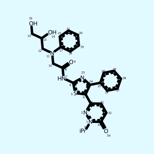 CC(C)n1nc(-c2sc(NC(=O)CN(CC(O)CO)c3ccccc3)nc2-c2ccccc2)ccc1=O